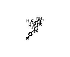 C=C/C(=C\c1c(N)ccc(=O)n1CCN1CCC(NCc2ccc(C#N)cc2)CC1)OC